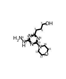 NNc1nc(CCCO)nc(N2CCOCC2)n1